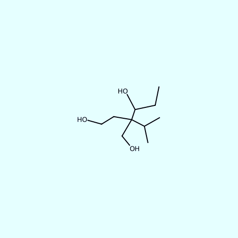 CCC(O)C(CO)(CCO)C(C)C